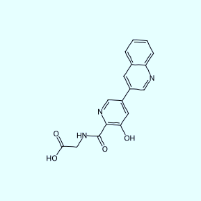 O=C(O)CNC(=O)c1ncc(-c2cnc3ccccc3c2)cc1O